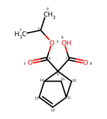 CC(C)OC(=O)C1(C(=O)O)CC2C=CC1C2